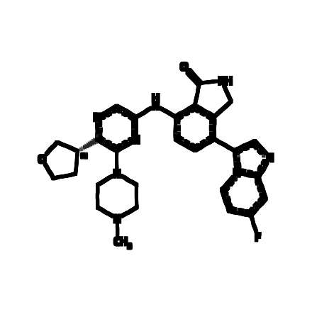 CN1CCN(c2nc(Nc3ccc(-c4cnc5cc(F)ccn45)c4c3C(=O)NC4)cnc2[C@@H]2CCOC2)CC1